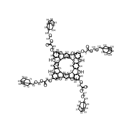 O=C(COc1ccc(C2c3cc(c(O)cc3O)C(c3ccc(OCC(=O)OCOCC45CC6CC(CC(C6)C4)C5)cc3)c3cc(c(O)cc3O)C(c3ccc(OCC(=O)OCOCC45CC6CC(CC(C6)C4)C5)cc3)c3cc(c(O)cc3O)C(c3ccc(OCC(=O)OCOCC45CC6CC(CC(C6)C4)C5)cc3)c3cc2c(O)cc3O)cc1)OCOCC12CC3CC(CC(C3)C1)C2